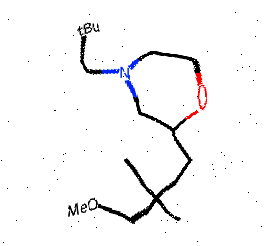 COCC(C)(C)CC1CN(CC(C)(C)C)CCO1